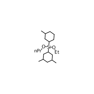 CCCO[Si](OCC)(C1CCCC(C)C1)C1CC(C)CC(C)C1